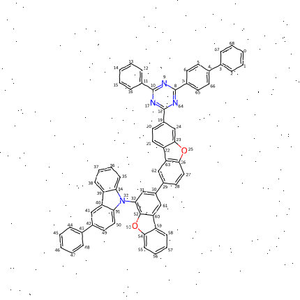 c1ccc(-c2ccc(-c3nc(-c4ccccc4)nc(-c4ccc5c(c4)oc4ccc(-c6cc(-n7c8ccccc8c8cc(-c9ccccc9)ccc87)c7oc8ccccc8c7c6)cc45)n3)cc2)cc1